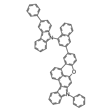 c1ccc(-c2ccc3c(c2)c2ccccc2n3-c2cc(-c3ccc4c(c3)-c3cccc5c3c(cc3c5c5ccccc5n3-c3ccccc3)O4)cc3ccccc23)cc1